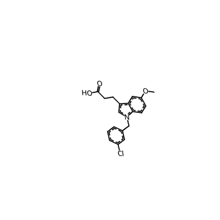 COc1ccc2c(c1)c(CCC(=O)O)cn2Cc1cccc(Cl)c1